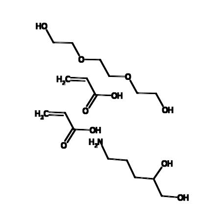 C=CC(=O)O.C=CC(=O)O.NCCCC(O)CO.OCCOCCOCCO